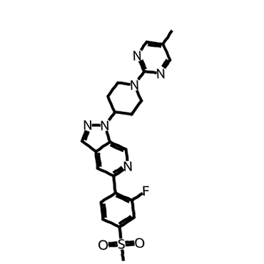 Cc1cnc(N2CCC(n3ncc4cc(-c5ccc(S(C)(=O)=O)cc5F)ncc43)CC2)nc1